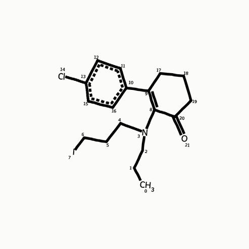 CCCN(CCCI)C1=C(c2ccc(Cl)cc2)CCCC1=O